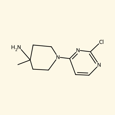 CC1(N)CCN(c2ccnc(Cl)n2)CC1